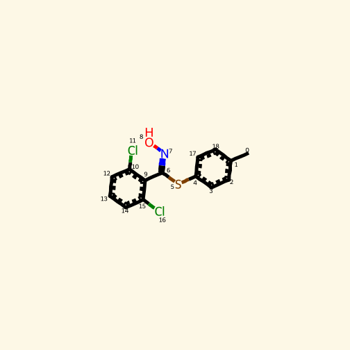 Cc1ccc(SC(=NO)c2c(Cl)cccc2Cl)cc1